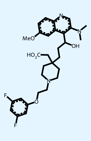 COc1ccc2ncc(N(C)C)c(C(O)CCC3(CC(=O)O)CCN(CCOc4cc(F)cc(F)c4)CC3)c2c1